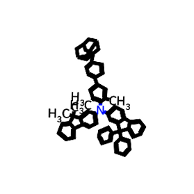 Cc1cc(-c2ccc(C34CC5CC(CC(C5)C3)C4)cc2)cc(C)c1N(c1ccc2c(c1)C(C)(C)c1ccccc1-2)c1ccc2c(c1)C(c1ccccc1)(c1ccccc1)c1ccccc1-2